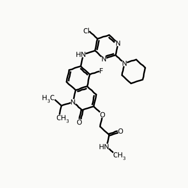 CNC(=O)COc1cc2c(F)c(Nc3nc(N4CCCCC4)ncc3Cl)ccc2n(C(C)C)c1=O